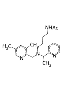 CC(=O)NCCCCN(Cc1ncc(C)cc1C)C(C)c1ccccn1